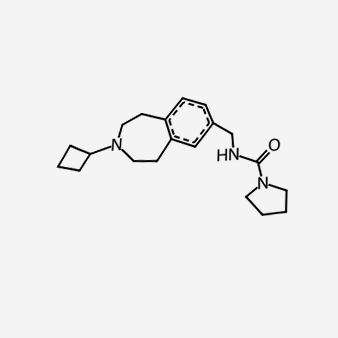 O=C(NCc1ccc2c(c1)CCN(C1CCC1)CC2)N1CCCC1